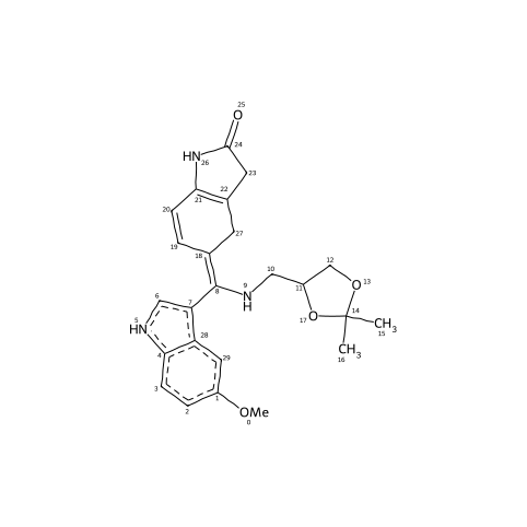 COc1ccc2[nH]cc(C(NCC3COC(C)(C)O3)=C3C=CC4=C(CC(=O)N4)C3)c2c1